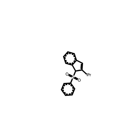 CC(C)C1=Cc2ccccc2C1S(=O)(=O)c1ccccc1